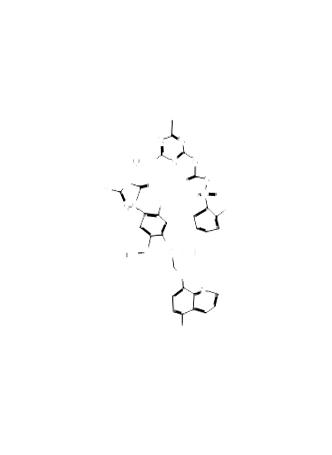 CC(C)Oc1cc(-n2nc(C(C)(C)C)oc2=O)c(Cl)cc1Cl.COc1nc(C)nc(NC(=O)NS(=O)(=O)c2ccccc2Cl)n1.O=C(O)COc1ccc(Cl)c2cccnc12